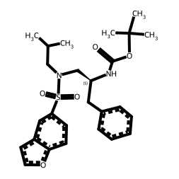 CC(C)CN(C[C@H](Cc1ccccc1)NC(=O)OC(C)(C)C)S(=O)(=O)c1ccc2occc2c1